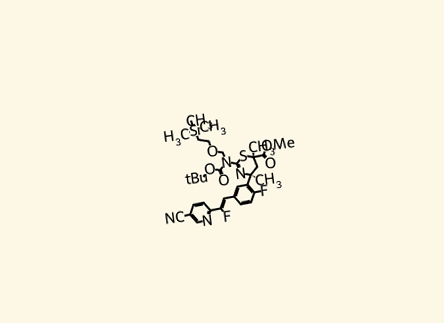 COC(=O)[C@]1(C)C[C@@](C)(c2cc(/C=C(\F)c3ccc(C#N)cn3)ccc2F)N=C(N(COCC[Si](C)(C)C)C(=O)OC(C)(C)C)S1